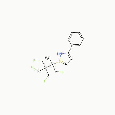 FCC(CF)(CF)C(CF)(S1=CC=C(c2ccccc2)N1)C(F)(F)F